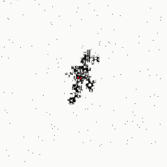 CC(C)C(=O)Nc1nc2c(ncn2[C@@H]2S[C@@H]3COP(=S)(SCc4ccc(Cl)cc4Cl)O[C@H]4[C@H](F)[C@H](n5cnc6c(NC(=O)c7ccccc7)ncnc65)O[C@@H]4COP(=O)(S)O[C@@H]2[C@@H]3O[Si](C)(C)C(C)(C)C)c(=O)[nH]1.N